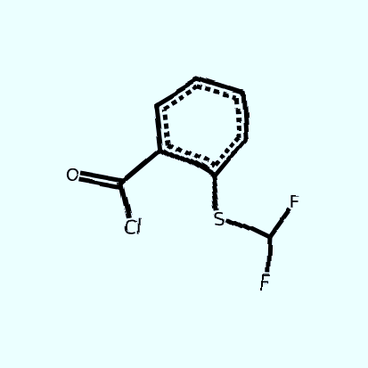 O=C(Cl)c1ccccc1SC(F)F